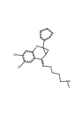 CNCCCON=C1c2cc(Cl)c(Cl)cc2OC2(c3ccccc3)CC12